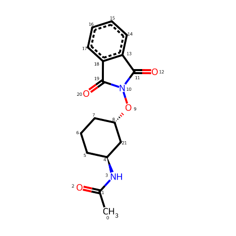 CC(=O)N[C@H]1CCC[C@H](ON2C(=O)c3ccccc3C2=O)C1